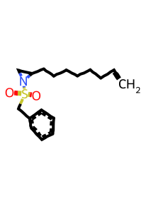 C=CCCCCCCC1CN1S(=O)(=O)Cc1ccccc1